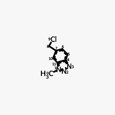 Cn1nnc2ccc(CCl)cc21